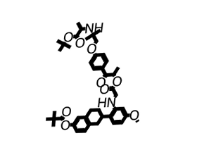 COc1ccc(C2CCc3cc(OC(=O)C(C)(C)C)ccc3C2)c(NCC(=O)OC(C)C(=O)c2ccc(OCC(C)(C)NC(C)C(=O)OC(C)(C)C)cc2)c1